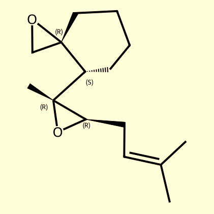 CC(C)=CC[C@H]1O[C@]1(C)[C@H]1CCCC[C@]12CO2